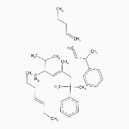 C=CC(C)c1ccccc1.C=CCCC.CC(=CC(C)C(C)C)CC(C)(C)c1ccccc1.CCC=CCCC